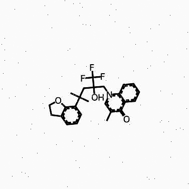 Cc1cn(CC(O)(CC(C)(C)c2cccc3c2OCC3)C(F)(F)F)c2ccccc2c1=O